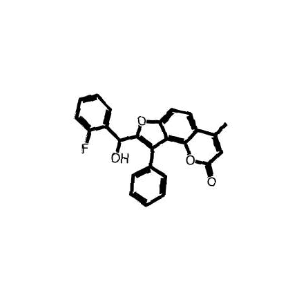 Cc1cc(=O)oc2c1ccc1oc(C(O)c3ccccc3F)c(-c3ccccc3)c12